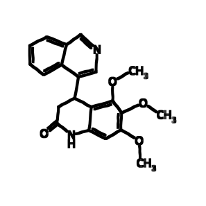 COc1cc2c(c(OC)c1OC)C(c1cncc3ccccc13)CC(=O)N2